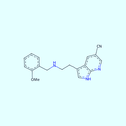 COc1ccccc1CNCCc1c[nH]c2ncc(C#N)cc12